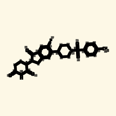 O=C1CCC(N2Cc3cc(C4CCN(S(=O)(=O)c5ccc(C(F)(F)F)cc5)CC4)c(F)cc3C2=O)C(=O)N1